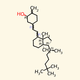 C=C1CC/C(=C\C=C2/CCC[C@]3(C)[C@@H]([C@@H](C)CCCC(C)(C)C)CC[C@@]23C)C[C@H]1O